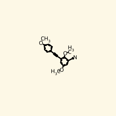 COc1ccc(C#Cc2cc(OC)cc(C#N)c2OC)cc1